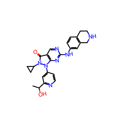 CC(O)c1cc(-n2c3nc(Nc4ccc5c(c4)CNCC5)ncc3c(=O)n2C2CC2)ccn1